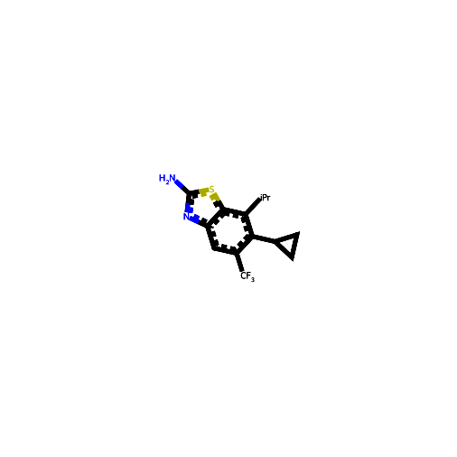 CC(C)c1c(C2CC2)c(C(F)(F)F)cc2nc(N)sc12